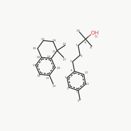 Cc1ccc(CCCC(C)(C)O)cc1.Cc1ccc2c(c1)C(C)(C)CCC2